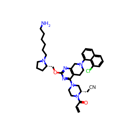 C=CC(=O)N1CCN(c2nc(OC[C@@H]3CCCN3CCCCCCN)nc3c2CCN(c2cccc4cccc(Cl)c24)C3)C[C@@H]1CC#N